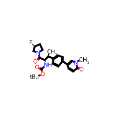 C[C@@H](c1ccc(-c2ccc(=O)n(C)c2)cc1)[C@H](NC(=O)OC(C)(C)C)C(=O)N1CC[C@H](F)C1